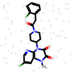 Cn1c(=O)c(=O)n(C2CCN(C(=O)Cc3ccccc3F)CC2)c2ncc(Cl)cc21